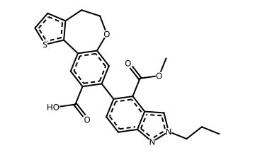 CCCn1cc2c(C(=O)OC)c(-c3cc4c(cc3C(=O)O)-c3sccc3CCO4)ccc2n1